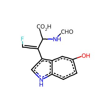 O=CNC(C(=O)O)C(=CF)c1c[nH]c2ccc(O)cc12